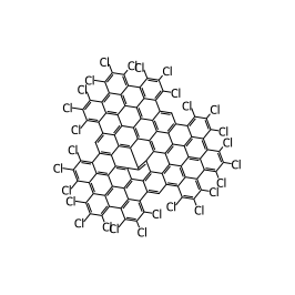 Clc1c(Cl)c2c3c(Cl)c(Cl)c(Cl)c4c5cc6c7c(Cl)c(Cl)c(Cl)c8c9c(Cl)c(Cl)c(Cl)c%10c%11c(Cl)c(Cl)c(Cl)c%12c%13cc%14c%15c(Cl)c(Cl)c(Cl)c%16c%17c(Cl)c(Cl)c(Cl)c%18c%19c(Cl)c(Cl)c(Cl)c%20c%21cc%22c%23c(Cl)c(Cl)c(Cl)c%24c(c1Cl)c2c1c(c43)c2c5c3c6c4c(c78)c(c9%10)c(c%12%11)c5c%13c6c%14c7c(c%15%16)c(c%18%17)c(c%20%19)c8c%21c9c%22c(c1c%23%24)c2c1c3c(c45)c6c(c87)c91